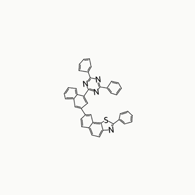 c1ccc(-c2nc(-c3ccccc3)nc(-c3cc(-c4ccc5ccc6nc(-c7ccccc7)sc6c5c4)cc4ccccc34)n2)cc1